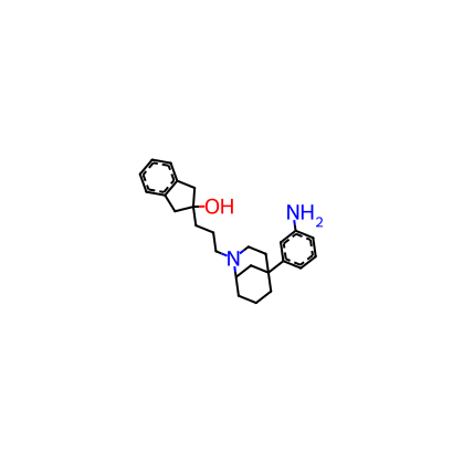 Nc1cccc(C23CCCC(C2)N(CCCC2(O)Cc4ccccc4C2)CC3)c1